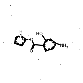 Nc1ccc(C(=O)Oc2ccc[nH]2)c(O)c1